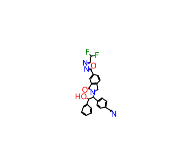 N#Cc1ccc(C(C(O)c2ccccc2)N2Cc3ccc(-c4nnc(C(F)F)o4)cc3C2=O)cc1